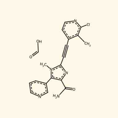 Cc1c(C#Cc2nc(C(N)=O)c(-c3cccnc3)n2C)ccnc1Cl.O=CO